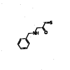 O=C([C]=S)CNCc1ccccc1